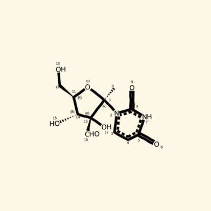 C[C@@]1(n2ccc(=O)[nH]c2=O)O[C@H](CO)[C@@H](O)[C@]1(O)C=O